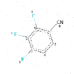 N#Cc1c[c]c(F)c(F)c1F